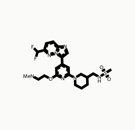 CNCCOc1cc(-c2cnc3ccc(C(F)F)nn23)cc(N2CCCC(CNS(C)(=O)=O)C2)n1